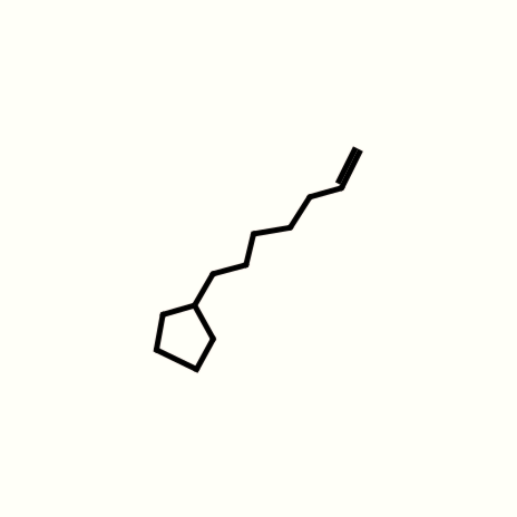 C=CCCCCCC1CCCC1